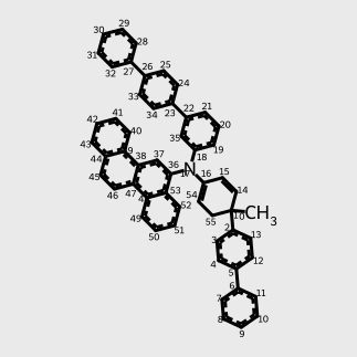 CC1(c2ccc(-c3ccccc3)cc2)C=CC(N(c2cccc(-c3ccc(-c4ccccc4)cc3)c2)c2cc3c4ccccc4ccc3c3ccccc23)=CC1